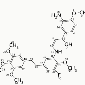 COc1ccc(C(O)/C=C\Nc2cc(CCc3cc(OC)c(OC)c(OC)c3)cc(F)c2OC)cc1N